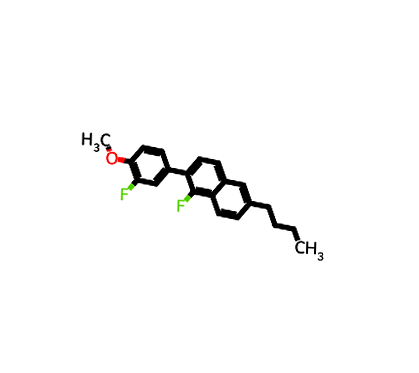 CCCCc1ccc2c(F)c(-c3ccc(OC)c(F)c3)ccc2c1